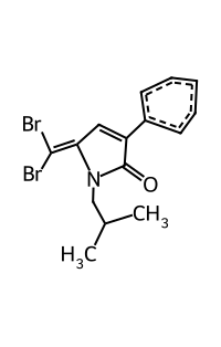 CC(C)CN1C(=O)C(c2ccccc2)=CC1=C(Br)Br